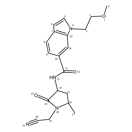 COCCn1ccc2ccc(C(=O)NC3CC(C)N(CC#N)C3=O)cc21